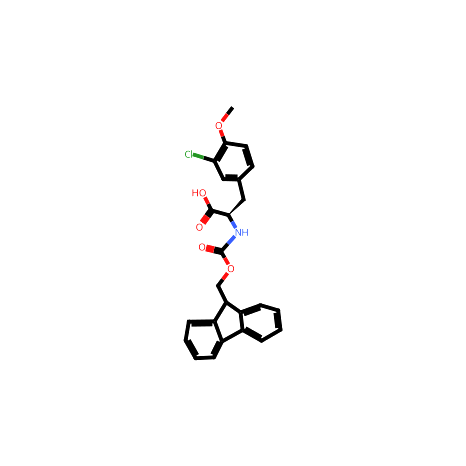 COc1ccc(C[C@@H](NC(=O)OCC2c3ccccc3-c3ccccc32)C(=O)O)cc1Cl